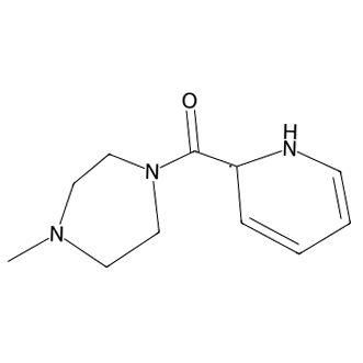 CN1CCN(C(=O)[C]2C=CC=CN2)CC1